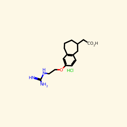 Cl.N=C(N)NCCOc1ccc2c(c1)CCCC(CC(=O)O)C2